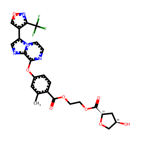 Cc1cc(Oc2nccn3c(-c4conc4C(F)(F)F)cnc23)ccc1C(=O)OCCOC(=O)[C@@H]1C[C@@H](O)CO1